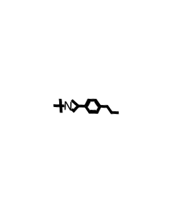 CCCc1ccc(C2CN(C(C)(C)C)C2)cc1